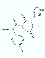 CCCCCCN(C(=O)N1CC(=O)N(C)C(c2cc[nH]c2)C1=O)C1C=CC(F)=CC1